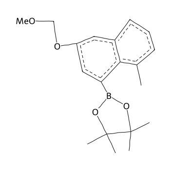 COCOc1cc(B2OC(C)(C)C(C)(C)O2)c2c(C)cccc2c1